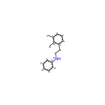 Cc1cccc(CCNc2cc[c]cc2)c1C